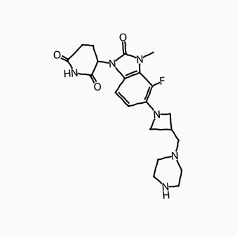 Cn1c(=O)n(C2CCC(=O)NC2=O)c2ccc(N3CC(CN4CCNCC4)C3)c(F)c21